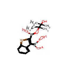 CC(C)(O)C(C)(C)OB(O)c1sc2ccccc2c1B(O)O